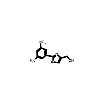 O=[N+]([O-])c1cc(-c2nc(CO)c[nH]2)cc(C(F)(F)F)c1